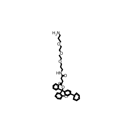 NCCCOCCOCCOCCCNC(=O)CCC(=O)OC(c1ccccc1)(c1ccc(-c2ccccc2)cc1)c1ccccc1Cl